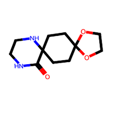 O=C1NCCNC12CCC1(CC2)OCCO1